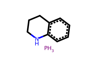 P.c1ccc2c(c1)CCCN2